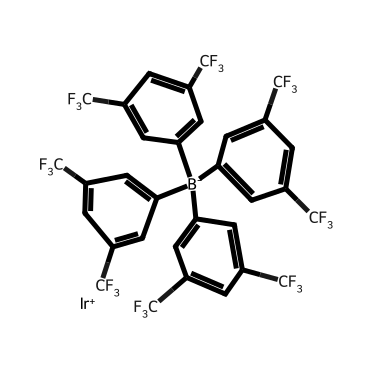 FC(F)(F)c1cc([B-](c2cc(C(F)(F)F)cc(C(F)(F)F)c2)(c2cc(C(F)(F)F)cc(C(F)(F)F)c2)c2cc(C(F)(F)F)cc(C(F)(F)F)c2)cc(C(F)(F)F)c1.[Ir+]